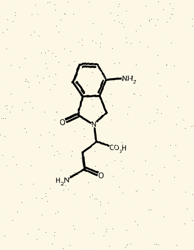 NC(=O)CC(C(=O)O)N1Cc2c(N)cccc2C1=O